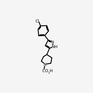 O=C(O)N1CCC(c2cc(-c3ccc(Cl)cc3)n[nH]2)CC1